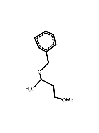 COCCC(C)OCc1ccccc1